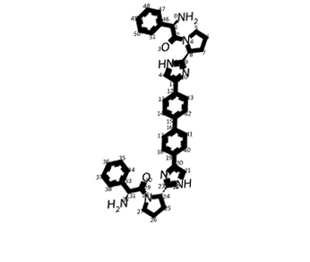 N[C@@H](C(=O)N1CCC[C@H]1c1nc(-c2ccc(-c3ccc(-c4c[nH]c([C@@H]5CCCN5C(=O)[C@H](N)c5ccccc5)n4)cc3)cc2)c[nH]1)c1ccccc1